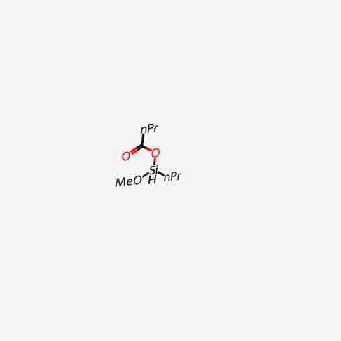 CCCC(=O)O[SiH](CCC)OC